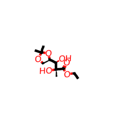 CCOC(=O)[C@](C)(O)[C@H](O)[C@H]1COC(C)(C)O1